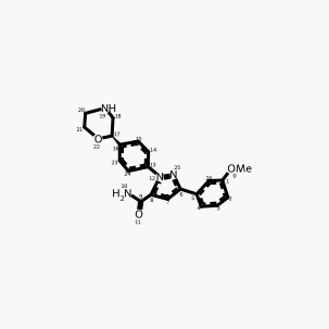 COc1cccc(-c2cc(C(N)=O)n(-c3ccc([C@@H]4CNCCO4)cc3)n2)c1